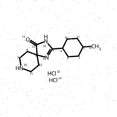 CC1CCC(C2=NC3(CCNCC3)C(=O)N2)CC1.Cl.Cl